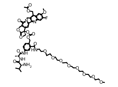 CC[C@@]1(OC(=O)OCc2ccc(NC(=O)[C@H](C)NC(=O)[C@@H](N)C(C)C)cc2C(=O)NCCOCCOCCOCCOCCOCCOCCOCCOC)C(=O)OCc2c1cc1n(c2=O)Cc2c-1nc1cc(F)c(OC)cc1c2COC(C)=O